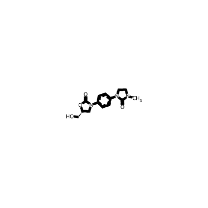 CN1CCN(c2ccc(N3C[C@H](CO)OC3=O)cc2)C1=O